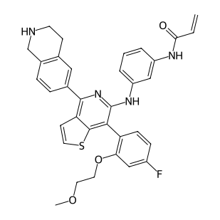 C=CC(=O)Nc1cccc(Nc2nc(-c3ccc4c(c3)CCNC4)c3ccsc3c2-c2ccc(F)cc2OCCOC)c1